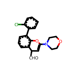 O=CC1C=C(N2CCOCC2)Oc2c(-c3ccccc3Cl)cccc21